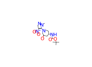 Cn1ncc([N+](=O)[O-])c1N1CC[C@@H](NC(=O)OC(C)(C)C)CC(=O)C1